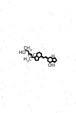 CC(O)CCC[C@@H](C)C1CCC2/C(=C/C=C3/C[C@H]4CCC=C4[C@H](O)C3)CCC[C@@]21C